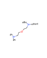 CCCCCN(CCCC)CCOCCN(C(C)C)C(C)C